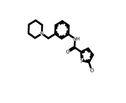 O=C(Nc1cccc(CN2CCCCC2)c1)c1ccc(Cl)s1